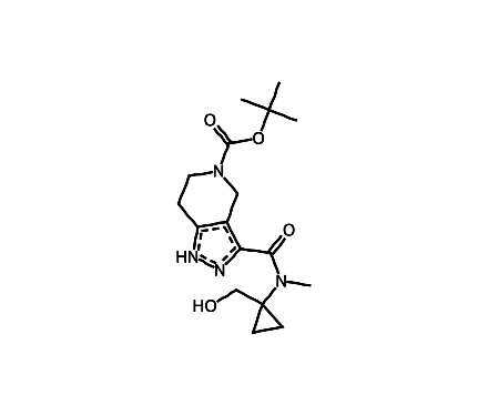 CN(C(=O)c1n[nH]c2c1CN(C(=O)OC(C)(C)C)CC2)C1(CO)CC1